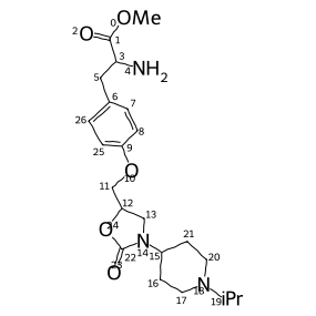 COC(=O)C(N)Cc1ccc(OCC2CN(C3CCN(C(C)C)CC3)C(=O)O2)cc1